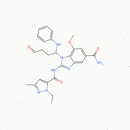 CCn1nc(C)cc1C(=O)Nc1nc2cc(C(N)=O)cc(OC)c2n1C(CCC=O)Nc1ccccc1